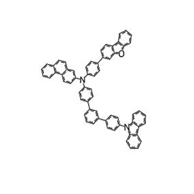 c1cc(-c2ccc(N(c3ccc(-c4ccc5c(c4)oc4ccccc45)cc3)c3ccc4c(ccc5ccccc54)c3)cc2)cc(-c2ccc(-n3c4ccccc4c4ccccc43)cc2)c1